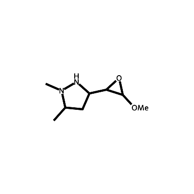 COC1OC1C1CC(C)N(C)N1